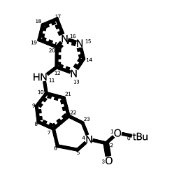 CC(C)(C)OC(=O)N1CCc2ccc(Nc3ncnn4cccc34)cc2C1